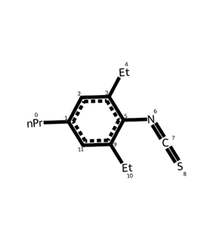 CCCc1cc(CC)c(N=C=S)c(CC)c1